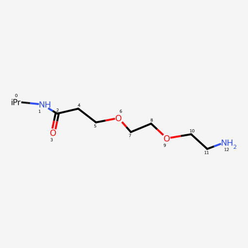 CC(C)NC(=O)CCOCCOCCN